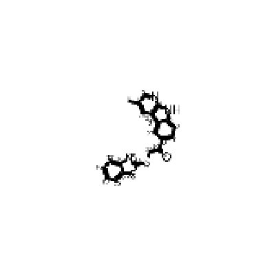 Cc1cnc2[nH]c3ccc(C(=O)CSc4nc5ccccc5s4)cc3c2c1